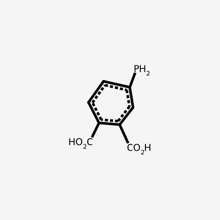 O=C(O)c1ccc(P)cc1C(=O)O